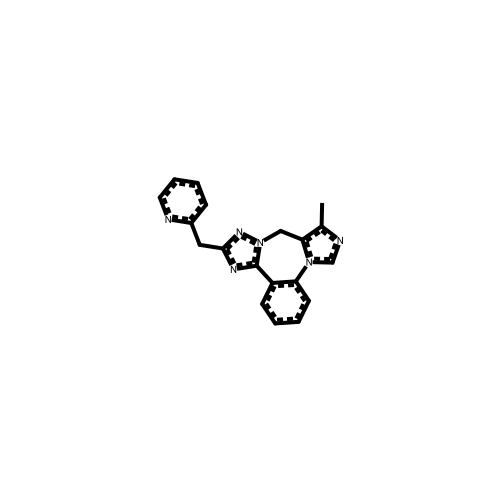 Cc1ncn2c1Cn1nc(Cc3ccccn3)nc1-c1ccccc1-2